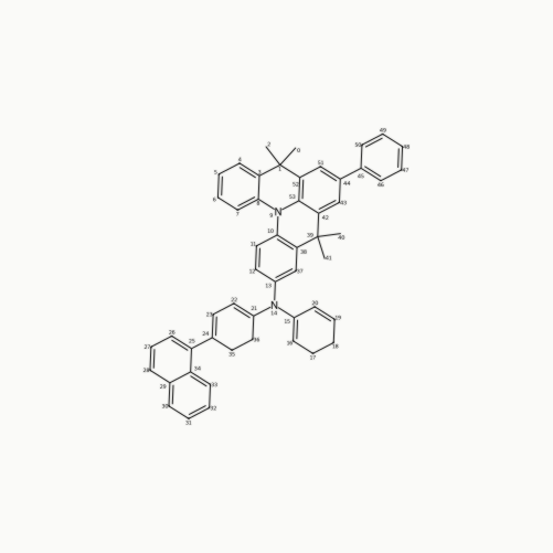 CC1(C)c2ccccc2N2c3ccc(N(C4=CCCC=C4)C4=CC=C(c5cccc6ccccc56)CC4)cc3C(C)(C)c3cc(-c4ccccc4)cc1c32